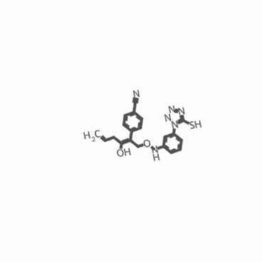 C=CC/C(O)=C(/CONc1cccc(-n2nnnc2S)c1)c1ccc(C#N)cc1